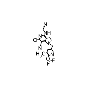 Cc1cc(CN2CCc3c(NCC#N)nc(Cl)c(C#N)c3C2)cnc1OC(F)F